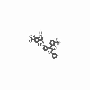 O=C(O)c1ccc2c(CNc3cccc(-c4c(C(=O)c5ccccc5)cnc5c(C(F)(F)F)cccc45)c3)c[nH]c2c1